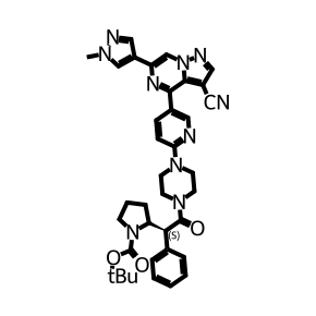 Cn1cc(-c2cn3ncc(C#N)c3c(-c3ccc(N4CCN(C(=O)[C@@H](c5ccccc5)C5CCCN5C(=O)OC(C)(C)C)CC4)nc3)n2)cn1